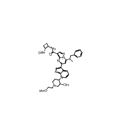 COCCN1CCC(n2cccc3c(-c4cc(N(C)Cc5ccccc5)n5ncc(C(=O)NC6CC[C@@H]6OC)c5n4)cnc2-3)C(O)C1